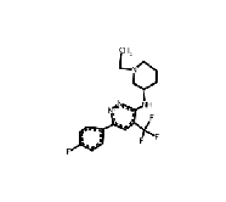 CCN1CCC[C@@H](Nc2nnc(-c3ccc(F)cc3)cc2C(F)(F)F)C1